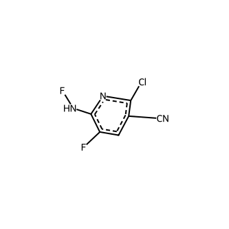 N#Cc1cc(F)c(NF)nc1Cl